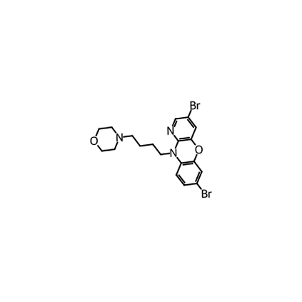 Brc1ccc2c(c1)Oc1cc(Br)cnc1N2CCCCN1CCOCC1